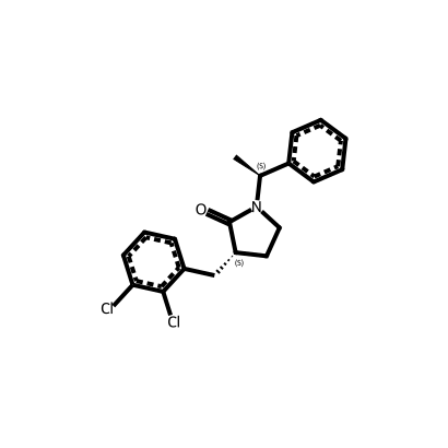 C[C@@H](c1ccccc1)N1CC[C@H](Cc2cccc(Cl)c2Cl)C1=O